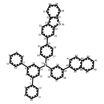 c1ccc(-c2cc(-c3ccccc3)cc(N(c3ccc(-c4ccc5c(c4)sc4ccccc45)cc3)c3cccc(-c4ccc5ccccc5c4)c3)c2)cc1